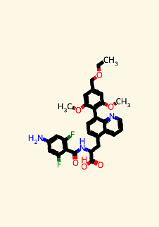 CCOCc1cc(OC)c(-c2ccc(CC(NC(=O)c3c(F)cc(N)cc3F)C(=O)O)c3cccnc23)c(OC)c1